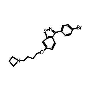 Brc1ccc(-c2nsc3cc(OCCCCN4CCC4)ccc23)cc1